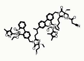 CCCCC1=N[C@](CC)(CNC(=O)CC#N)C(=O)N1Cc1ccc(-c2ccc(C(C)CCC3=N[C@@](CC)(CCF)C(=O)N3Cc3ccc(-c4ccccc4S(=O)(=O)Nc4noc(C)c4C)c(COCC)c3)cc2S(=O)(=O)Nc2noc(C)c2C)c(COCC)c1